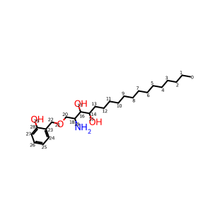 CCCCCCCCCCCCCCC(O)C(O)C(N)COCc1ccccc1O